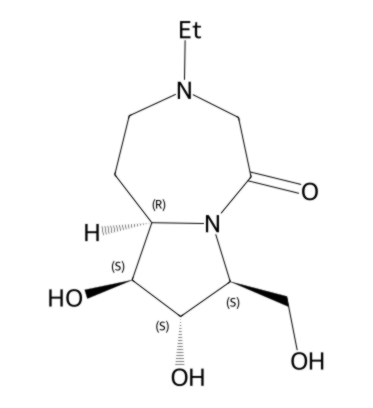 CCN1CC[C@@H]2[C@H](O)[C@@H](O)[C@H](CO)N2C(=O)C1